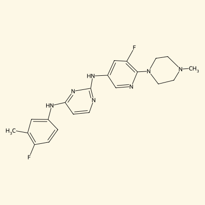 Cc1cc(Nc2ccnc(Nc3cnc(N4CCN(C)CC4)c(F)c3)n2)ccc1F